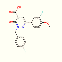 COc1ccc(-c2cc(C(=O)O)c(=O)n(Cc3ccc(F)cc3)n2)cc1F